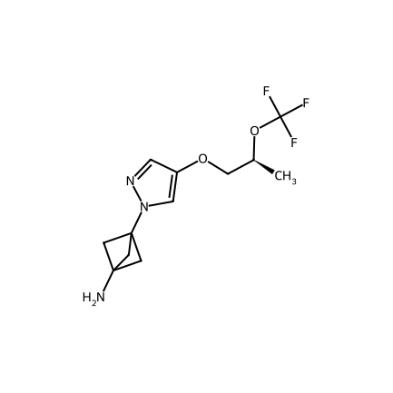 C[C@@H](COc1cnn(C23CC(N)(C2)C3)c1)OC(F)(F)F